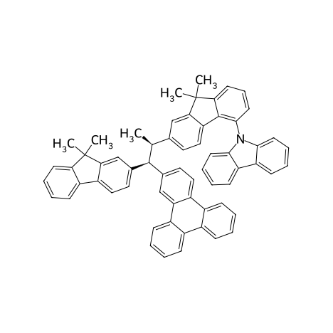 C[C@@H](c1ccc2c(c1)C(C)(C)c1cccc(-n3c4ccccc4c4ccccc43)c1-2)[C@H](c1ccc2c(c1)C(C)(C)c1ccccc1-2)c1ccc2c3ccccc3c3ccccc3c2c1